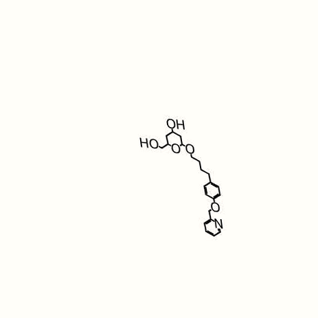 OCC1CC(O)CC(OCCCCc2ccc(OCc3ccccn3)cc2)O1